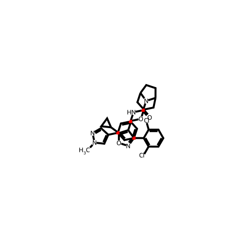 Cn1cc(-c2cccc(NC(=O)N3C4CCC3CC(OCc3c(-c5c(Cl)cccc5Cl)noc3C3CC3)C4)c2)cn1